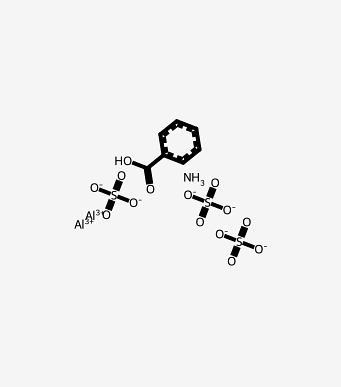 N.O=C(O)c1ccccc1.O=S(=O)([O-])[O-].O=S(=O)([O-])[O-].O=S(=O)([O-])[O-].[Al+3].[Al+3]